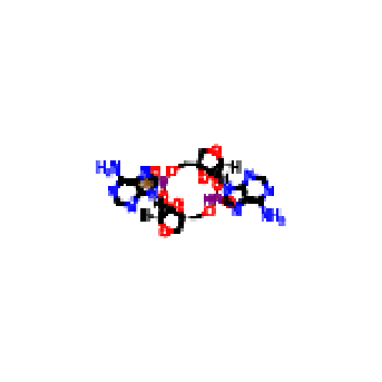 Nc1ncnc2c1ncn2[C@@H]1O[C@@]23CO[C@@H]1[C@@H]2O[PH](=O)OC[C@@]12CO[C@@H]([C@H](n4cnc5c(N)ncnc54)O1)[C@@H]2O[P@](=O)(S)OC3